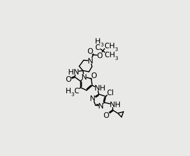 Cc1cc(Nc2ncnc(NC(=O)C3CC3)c2Cl)c(=O)n2c1C(=O)NC21CCN(C(=O)OC(C)(C)C)CC1